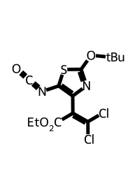 CCOC(=O)C(=C(Cl)Cl)c1nc(OC(C)(C)C)sc1N=C=O